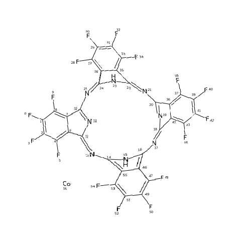 Fc1c(F)c(F)c2c(c1F)-c1nc-2nc2[nH]c(nc3nc(nc4[nH]c(n1)c1c(F)c(F)c(F)c(F)c41)-c1c(F)c(F)c(F)c(F)c1-3)c1c(F)c(F)c(F)c(F)c21.[Co]